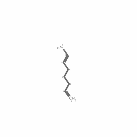 C=CCCCC=CC[CH]C